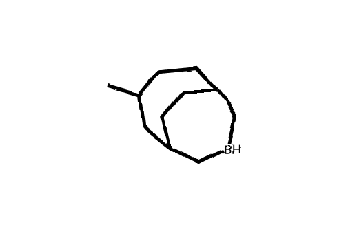 CC1CCC2CBCC(CC2)C1